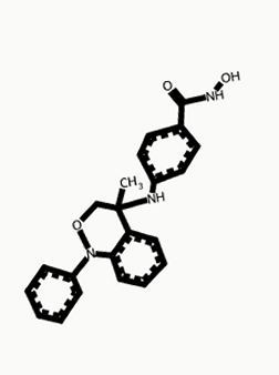 CC1(Nc2ccc(C(=O)NO)cc2)CON(c2ccccc2)c2ccccc21